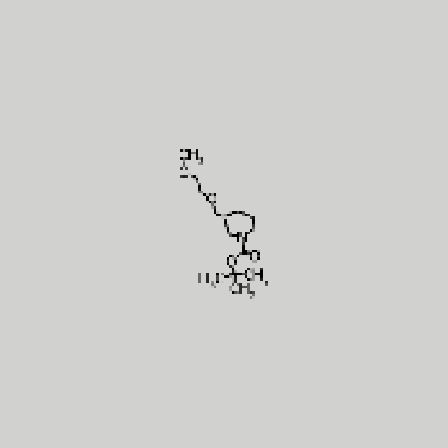 COCCOCC1CCCN(C(=O)OC(C)(C)C)C1